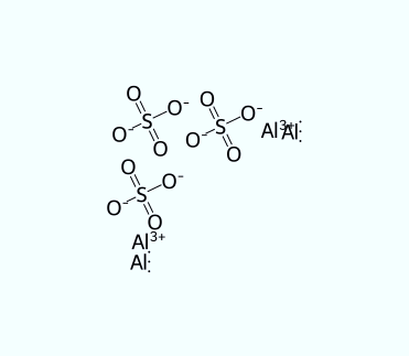 O=S(=O)([O-])[O-].O=S(=O)([O-])[O-].O=S(=O)([O-])[O-].[Al+3].[Al+3].[Al].[Al]